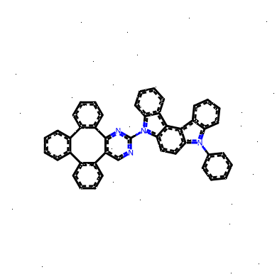 c1ccc(-n2c3ccccc3c3c4c5ccccc5n(-c5ncc6c(n5)-c5ccccc5-c5ccccc5-c5ccccc5-6)c4ccc32)cc1